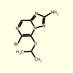 CC(C)Oc1c(Br)ncc2nc(N)nn12